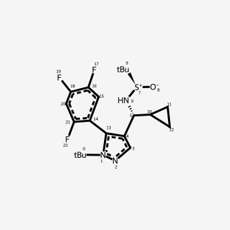 CC(C)(C)n1ncc([C@H](N[S@+]([O-])C(C)(C)C)C2CC2)c1-c1cc(F)c(F)cc1F